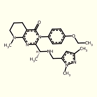 CCOc1ccc(-n2c([C@@H](C)NCc3cc(C)nn3C)nc3c(c2=O)CCCN3C)cc1